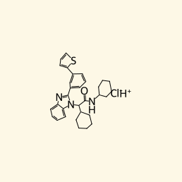 O=C(NC1CCCCC1)C(C1CCCCC1)n1c(-c2cccc(-c3cccs3)c2)nc2ccccc21.[Cl-].[H+]